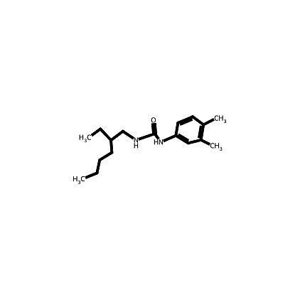 CCCCC(CC)CNC(=O)Nc1ccc(C)c(C)c1